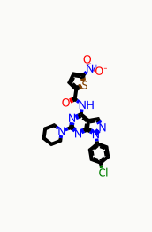 O=C(Nc1nc(N2CCCCC2)nc2c1cnn2-c1ccc(Cl)cc1)c1ccc([N+](=O)[O-])s1